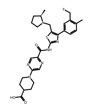 Cc1ccc(-c2nc(NC(=O)c3cnc(N4CCC(C(=O)O)CC4)cn3)sc2CN2CCC[C@H]2C)cc1CF